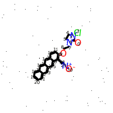 O=C1N(Cl)CCN1CCOc1ccc2cc3cc4ccccc4cc3cc2c1C#[N+][O-]